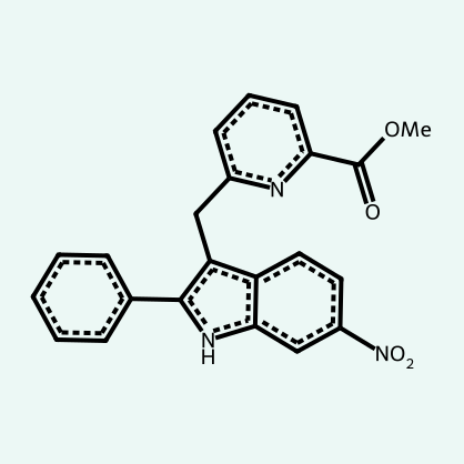 COC(=O)c1cccc(Cc2c(-c3ccccc3)[nH]c3cc([N+](=O)[O-])ccc23)n1